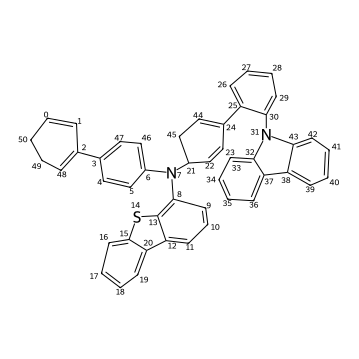 C1=CC(c2ccc(N(c3cccc4c3sc3ccccc34)C3C=CC(c4ccccc4-n4c5ccccc5c5ccccc54)=CC3)cc2)=CCC1